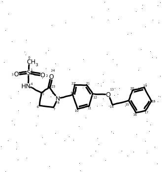 CS(=O)(=O)NC1CCN(c2ccc(OCc3ccccc3)cc2)C1=O